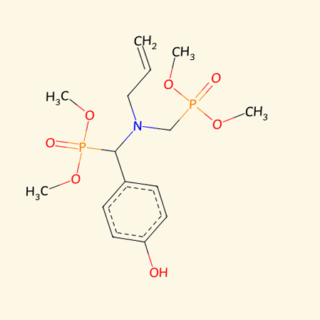 C=CCN(CP(=O)(OC)OC)C(c1ccc(O)cc1)P(=O)(OC)OC